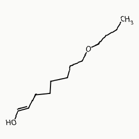 CCCCOCCCCCCC=CO